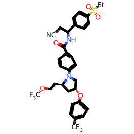 CCS(=O)(=O)c1ccc(C(CC#N)NC(=O)c2ccc(N3C[C@@H](Oc4ccc(C(F)(F)F)cc4)C[C@H]3CCOC(F)(F)F)cc2)cc1